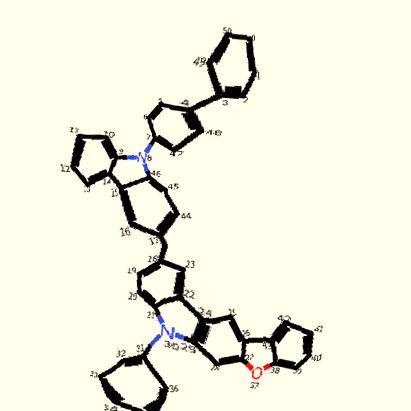 c1ccc(-c2ccc(-n3c4ccccc4c4cc(-c5ccc6c(c5)c5cc7c(cc5n6-c5ccccc5)oc5ccccc57)ccc43)cc2)cc1